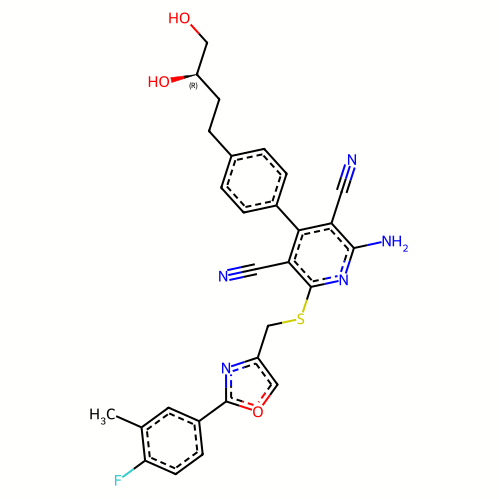 Cc1cc(-c2nc(CSc3nc(N)c(C#N)c(-c4ccc(CC[C@@H](O)CO)cc4)c3C#N)co2)ccc1F